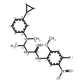 COc1cc(F)c([N+](=O)[O-])cc1NC(=N)NC(C)N(C)c1cccc(C2CC2)c1